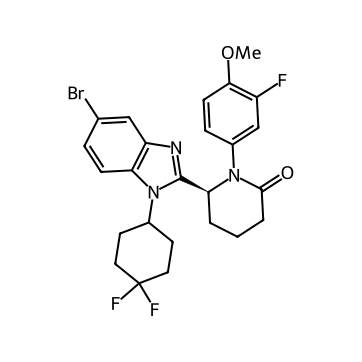 COc1ccc(N2C(=O)CCC[C@H]2c2nc3cc(Br)ccc3n2C2CCC(F)(F)CC2)cc1F